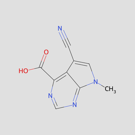 Cn1cc(C#N)c2c(C(=O)O)ncnc21